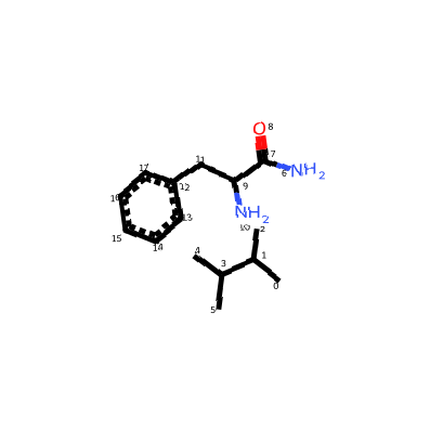 CC(C)C(C)C.NC(=O)C(N)Cc1ccccc1